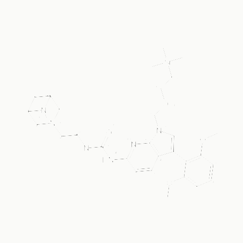 COc1cccc(OC)c1-c1cn(COCC[Si](C)(C)C)c2nc(NC(=O)NCCN3CC4CC(C3)N4C)ccc12